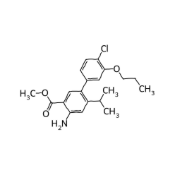 CCCOc1cc(-c2cc(C(=O)OC)c(N)cc2C(C)C)ccc1Cl